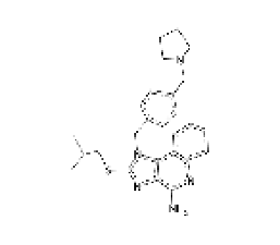 CC(C)CSc1nc2c(N)nc3ccccc3c2n1Cc1ccc(CN2CCCC2)cc1